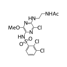 COc1nc(NCCNC(C)=O)c(Cl)nc1NS(=O)(=O)c1cccc(Cl)c1Cl